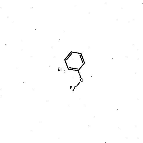 B.FC(F)(F)Oc1ccccc1